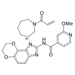 C=CC(=O)N1CCCC[C@@H](n2c(NC(=O)c3ccnc(OC)c3)nc3ccc4c(c32)OCCO4)C1